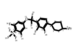 CCCC1CCC(c2ccc(C(F)(F)Oc3cc(F)c(S(F)(F)F)c(F)c3)c(F)c2F)CC1